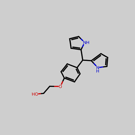 OCCOc1ccc(C(c2ccc[nH]2)c2ccc[nH]2)cc1